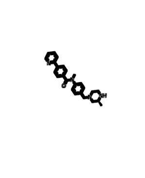 C[C@H]1CN(Cc2ccc(N(C)C(=O)c3ccc(-c4ccccn4)cc3)cc2)CCN1